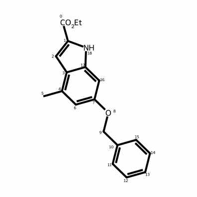 CCOC(=O)c1cc2c(C)cc(OCc3ccccc3)cc2[nH]1